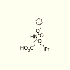 CC(C)CCOC(CCC(=O)O)NC(=O)OCc1ccccc1